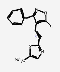 Cc1onc(-c2ccccc2)c1/C=C/c1ncc(C(=O)O)s1